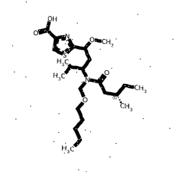 CCCCCOCN(C(=O)C[C@@H](C)CC)C(CC(OC)c1nc(C(=O)O)cs1)C(C)C